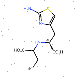 CC(C)CC(N[C@@H](Cc1csc(N)n1)C(=O)O)C(=O)O